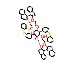 OCCOc1ccc2ccccc2c1-c1c(OCCOc2cc(-c3cccc4c3Sc3ccccc3S4)c(OCCOc3ccc4ccccc4c3-c3c(OCCO)ccc4ccccc34)cc2-c2cccc3c2Sc2ccccc2S3)ccc2ccccc12